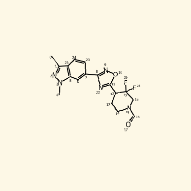 Cc1nn(C)c2cc(-c3noc(C4CCN(C=O)CC4(F)F)n3)ccc12